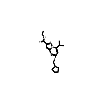 CCOC(=O)c1cc2nc(CCC3CCCC3)cc(C(C)C)n2n1